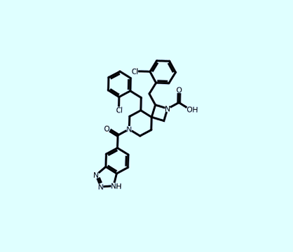 O=C(c1ccc2[nH]nnc2c1)N1CCC2(CN(C(=O)O)C2Cc2ccccc2Cl)C(Cc2ccccc2Cl)C1